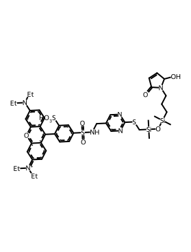 CCN(CC)c1ccc2c(-c3ccc(S(=O)(=O)NCc4cnc(SC[Si](C)(C)O[Si](C)(C)CCCN5C(=O)C=CC5O)nc4)cc3S(=O)(=O)O)c3ccc(=[N+](CC)CC)cc-3oc2c1